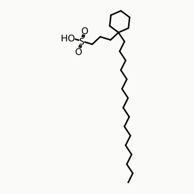 CCCCCCCCCCCCCCCCC1(CCCS(=O)(=O)O)CCCCC1